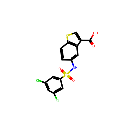 O=C(O)c1csc2ccc(NS(=O)(=O)c3cc(Cl)cc(Cl)c3)cc12